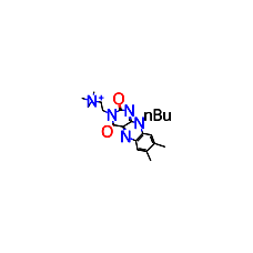 CCCCn1c2nc(=O)n(CC[N+](C)(C)C)c(=O)c-2nc2cc(C)c(C)cc21